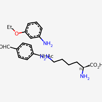 CC(=O)Nc1ccc(C=O)cc1.CCOc1cccc(N)c1.NCCCC[C@H](N)C(=O)O